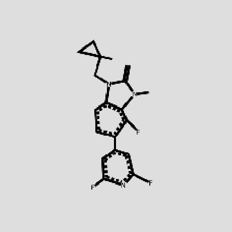 C=C1N(C)c2c(ccc(-c3cc(F)nc(F)c3)c2F)N1CC1(C)CC1